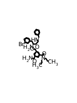 CCCN(CCC)C(=O)c1cc(C(N)=O)cc(C(=O)OC(CNCc2ccccc2)C(N)Cc2cccc(Br)c2)c1